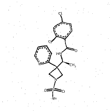 CCCS(=O)(=O)N1CC(c2ccccn2)([C@H](C)NC(=O)c2ccc(Cl)cc2Cl)C1